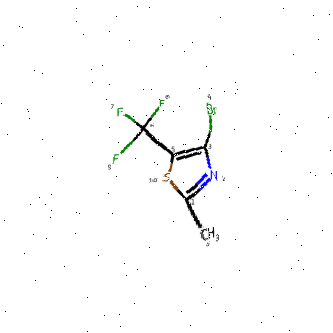 Cc1nc(Br)c(C(F)(F)F)s1